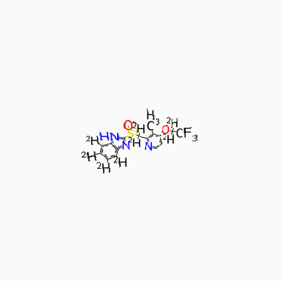 [2H]c1c([2H])c([2H])c2[nH]c([S+]([O-])C([2H])([2H])c3nccc(OC([2H])([2H])C(F)(F)F)c3C)nc2c1[2H]